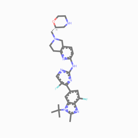 Cc1nc2c(F)cc(-c3nc(Nc4ccc5c(n4)CCN(C[C@H]4CNCCO4)C5)ncc3F)cc2n1C(C)(C)C